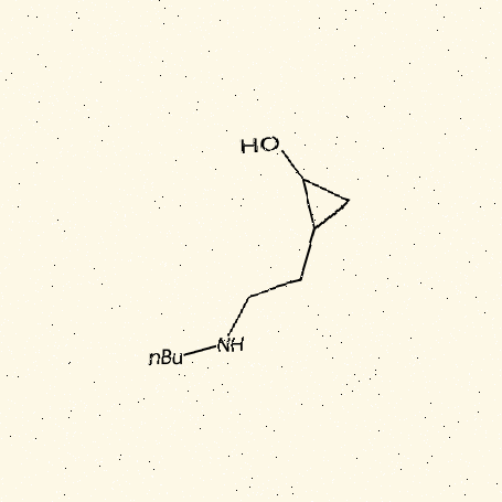 CCCCNCCC1CC1O